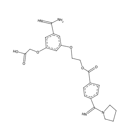 N=C(N)c1cc(OCCOC(=O)c2ccc(C(=N)N3CCCC3)cc2)cc(OCC(=O)O)c1